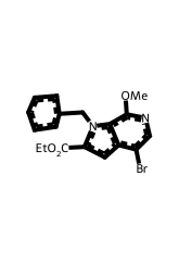 CCOC(=O)c1cc2c(Br)cnc(OC)c2n1Cc1ccccc1